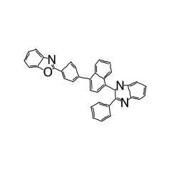 c1ccc(-c2nc3ccccc3nc2-c2ccc(-c3ccc(-c4nc5ccccc5o4)cc3)c3ccccc23)cc1